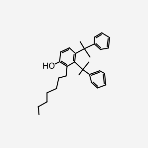 CCCCCCCc1c(O)ccc(C(C)(C)c2ccccc2)c1C(C)(C)c1ccccc1